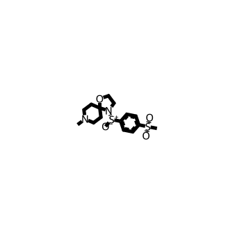 CN1CCC2(CC1)OCCN2[S+]([O-])c1ccc(S(C)(=O)=O)cc1